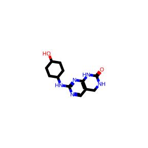 O=C1NCc2cnc(NC3CCC(O)CC3)nc2N1